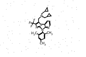 Cc1cc(C)c(-n2c3ncccc3n3c(CN(CC4CC4)CC4CC4)c(C(F)(F)F)nc23)c(C)c1